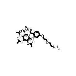 COC(=O)[C@H]1O[C@@H](Oc2cc(OCCOCCN)ccc2CO)[C@H](OC(C)=O)[C@@H](OC(C)=O)[C@@H]1OC(C)=O